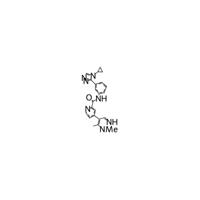 CN/C(C)=C(\C=N)c1ccnc(C(=O)Nc2cccc(-c3nncn3C3CC3)c2)c1